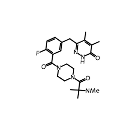 CNC(C)(C)C(=O)N1CCN(C(=O)c2cc(Cc3n[nH]c(=O)c(C)c3C)ccc2F)CC1